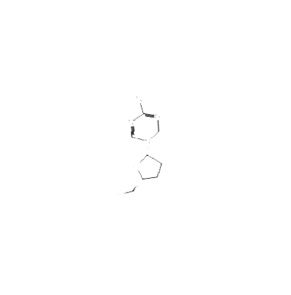 NC1=NCN([C@@H]2C[C@H](O)[C@@H](CO)O2)C=N1